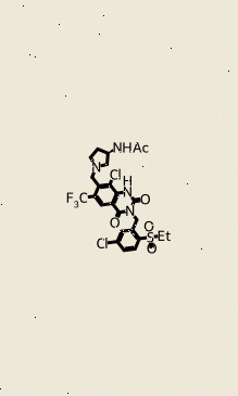 CCS(=O)(=O)c1ccc(Cl)cc1Cn1c(=O)[nH]c2c(Cl)c(CN3CC[C@@H](NC(C)=O)C3)c(C(F)(F)F)cc2c1=O